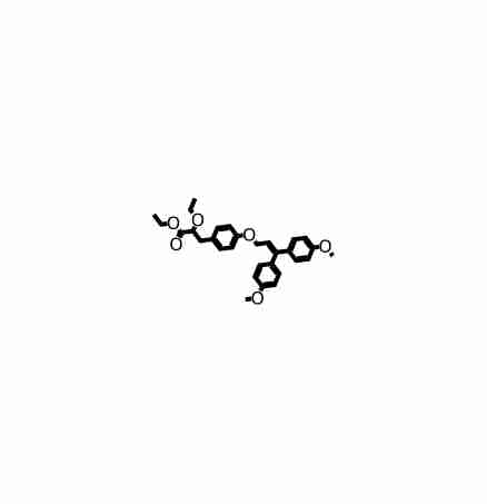 CCOC(=O)C(Cc1ccc(OCC=C(c2ccc(OC)cc2)c2ccc(OC)cc2)cc1)OCC